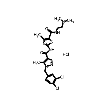 Cc1nc(NC(=O)c2nnn(Cc3ccc(Cl)c(Cl)c3)c2C)sc1C(=O)NCCN(C)C.Cl